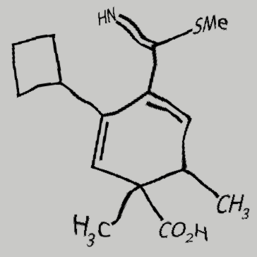 CSC(=N)C1=CC(C)C(C)(C(=O)O)C=C1C1CCC1